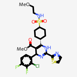 COCCNS(=O)(=O)[C@H]1CC[C@H](C2=C(C(=O)OC)C(c3ccc(F)c(F)c3Cl)N=C(c3nccs3)N2)CC1